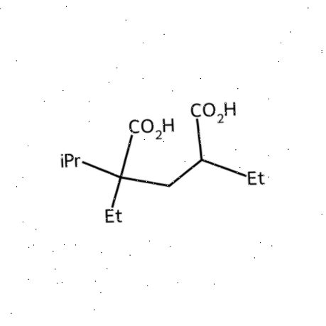 CCC(CC(CC)(C(=O)O)C(C)C)C(=O)O